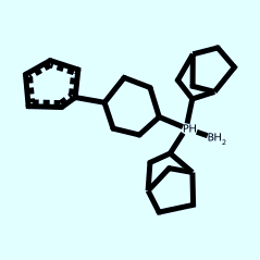 B[PH](C1CCC(c2ccccc2)CC1)(C1CC2CCC1C2)C1CC2CCC1C2